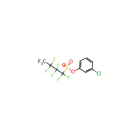 O=S(=O)(Oc1cccc(Cl)c1)C(F)(F)C(F)(F)C(F)(F)C(F)(F)F